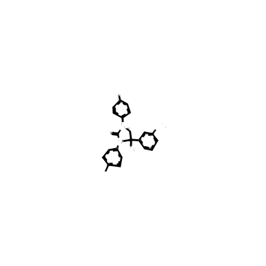 C[C@H]1N(c2ccc(Cl)cc2)C(=O)N(c2ccc(Cl)cc2)C1(O)c1cccc(C#N)c1